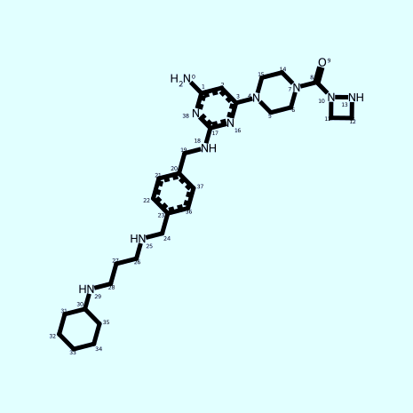 Nc1cc(N2CCN(C(=O)N3CCN3)CC2)nc(NCc2ccc(CNCCCNC3CCCCC3)cc2)n1